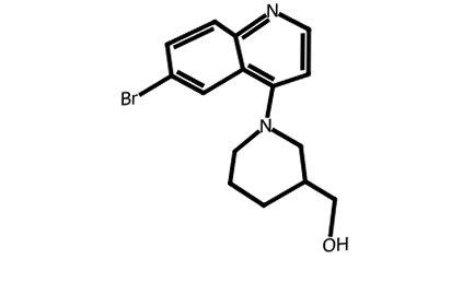 OCC1CCCN(c2ccnc3ccc(Br)cc23)C1